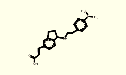 CN(C)c1ccc(CCNC2CCc3cc(/C=C/C(=O)O)ccc32)cc1